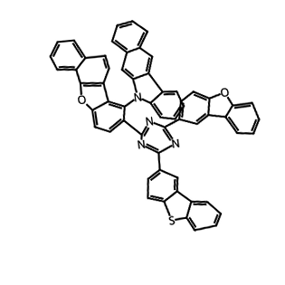 c1ccc2cc3c(cc2c1)c1ccccc1n3-c1c(-c2nc(-c3ccc4oc5ccccc5c4c3)nc(-c3ccc4sc5ccccc5c4c3)n2)ccc2oc3c4ccccc4ccc3c12